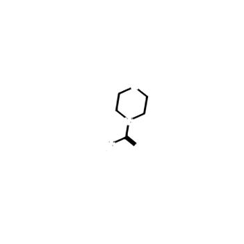 NC(=S)N1CCSCC1